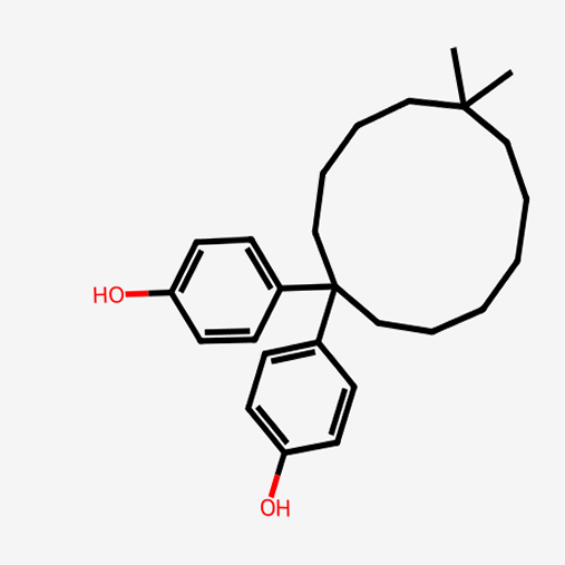 CC1(C)CCCCCCC(c2ccc(O)cc2)(c2ccc(O)cc2)CCCC1